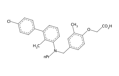 CCCN(Cc1ccc(OCC(=O)O)c(C)c1)c1cccc(-c2ccc(Cl)cc2)c1C